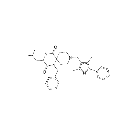 Cc1nn(-c2ccccc2)c(C)c1CN1CCC2(CC1)C(=O)NC(CC(C)C)C(=O)N2Cc1ccccc1